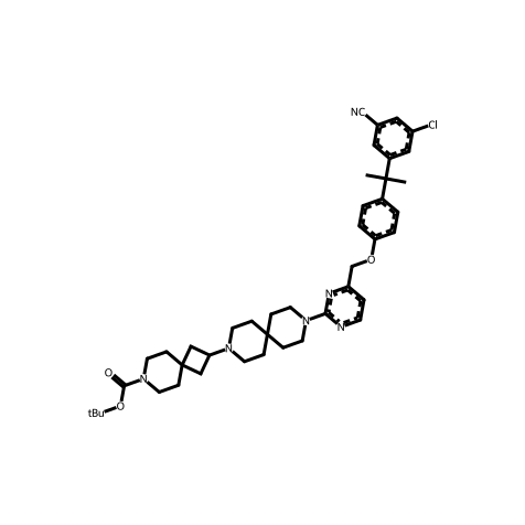 CC(C)(C)OC(=O)N1CCC2(CC1)CC(N1CCC3(CCN(c4nccc(COc5ccc(C(C)(C)c6cc(Cl)cc(C#N)c6)cc5)n4)CC3)CC1)C2